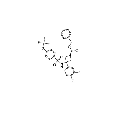 O=C(OCc1ccccc1)N1CC(NS(=O)(=O)c2ccc(OC(F)(F)F)cc2)(c2ccc(Cl)c(F)c2)C1